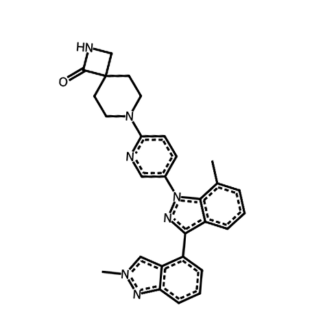 Cc1cccc2c(-c3cccc4nn(C)cc34)nn(-c3ccc(N4CCC5(CC4)CNC5=O)nc3)c12